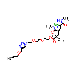 C#CCOCc1cn(CCOCCOCCOC(=O)C(C)(C)CC(CC(Br)C(=O)NC)C(=O)NC)nn1